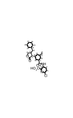 CC(Nc1ccc(Cl)nc1C(=O)O)c1cc(F)cc([C@H]2C(=O)OCC2Cc2ccccc2)c1